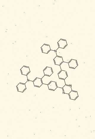 c1ccc(-c2cc(N(c3ccccc3)c3ccccc3)ccc2-c2ccc(-c3nc4ccccc4nc3-c3ccc(-c4ccc(N(c5ccccc5)c5ccccc5)cc4-c4ccccc4)cc3)cc2)cc1